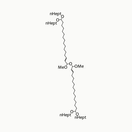 CCCCCCCOC(CCCCCCCCCCCCC=CC(OC)OC(C=CCCCCCCCCCCCCC(OCCCCCCC)OCCCCCCC)OC)OCCCCCCC